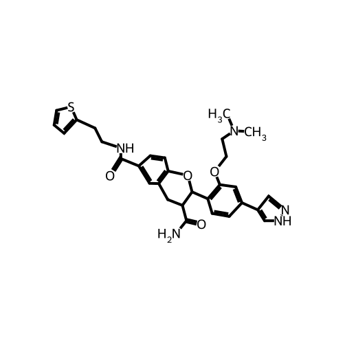 CN(C)CCOc1cc(-c2cn[nH]c2)ccc1C1Oc2ccc(C(=O)NCCc3cccs3)cc2CC1C(N)=O